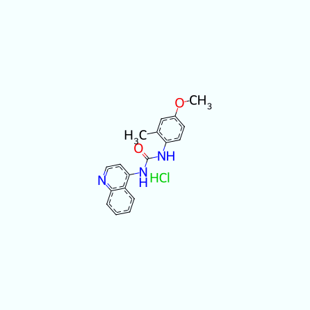 COc1ccc(NC(=O)Nc2ccnc3ccccc23)c(C)c1.Cl